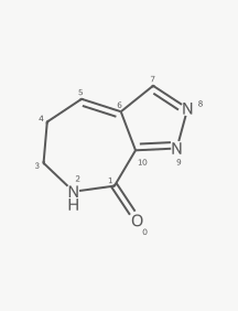 O=C1NCCC=C2C=NN=C12